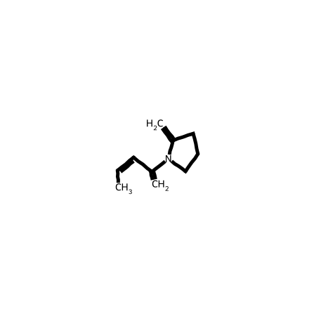 C=C(/C=C\C)N1CCCC1=C